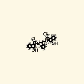 O=C(CC(CC(=O)N1C[C@@H](CCl)c2c1cc(O)c1ccccc21)c1ccccc1)N1C[C@@H](CCl)c2c1cc(O)c1ccccc21